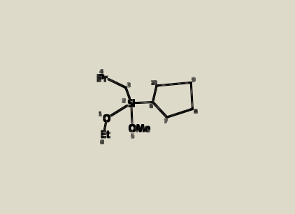 CCO[Si](CC(C)C)(OC)C1CCCC1